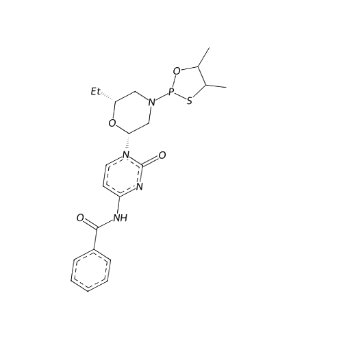 CC[C@@H]1CN(P2OC(C)C(C)S2)C[C@H](n2ccc(NC(=O)c3ccccc3)nc2=O)O1